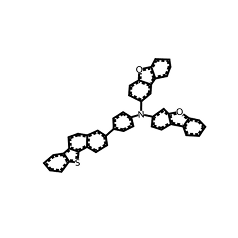 c1ccc2c(c1)oc1cc(N(c3ccc(-c4ccc5c(ccc6c7ccccc7sc56)c4)cc3)c3ccc4oc5ccccc5c4c3)ccc12